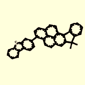 CC1(C)c2ccccc2-c2c1cc1ccc3c(-c4ccc5c(c4)sc4ccccc45)ccc4ccc2c1c43